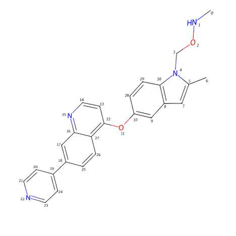 CNOCn1c(C)cc2cc(Oc3ccnc4cc(-c5ccncc5)ccc34)ccc21